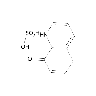 O=C1C=CCC2=CC=CNC12.O=S(=O)(O)O